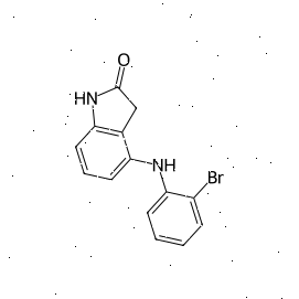 O=C1Cc2c(cccc2Nc2ccccc2Br)N1